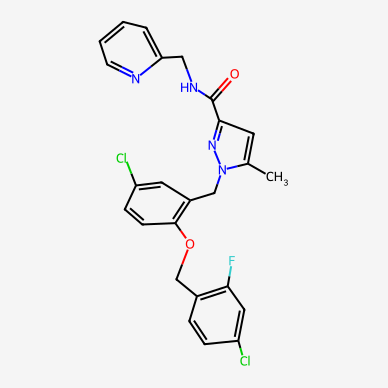 Cc1cc(C(=O)NCc2ccccn2)nn1Cc1cc(Cl)ccc1OCc1ccc(Cl)cc1F